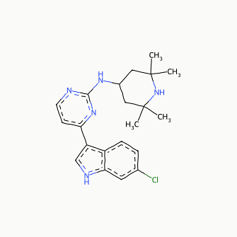 CC1(C)CC(Nc2nccc(-c3c[nH]c4cc(Cl)ccc34)n2)CC(C)(C)N1